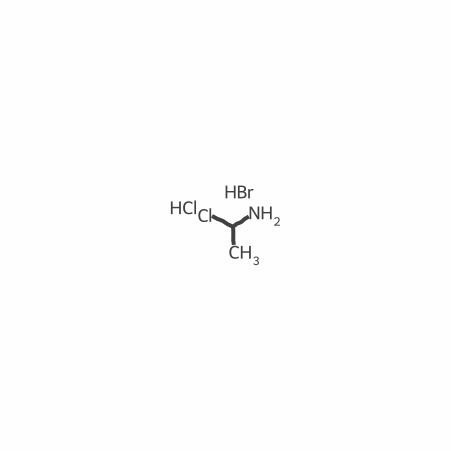 Br.CC(N)Cl.Cl